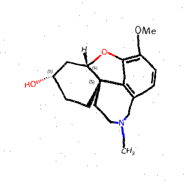 COc1ccc2c3c1O[C@H]1C[C@@H](O)CC[C@]31CCN(C)C2